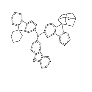 c1ccc2c(c1)-c1ccc(N(c3ccc4c(c3)-c3ccccc3C43C4CCC5CC(C4)CC3C5)c3ccc4oc5ccccc5c4c3)cc1C21CCCCC1